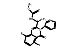 C[C@H](NC(=O)OC(C)(C)C)c1nc2c(F)ccc(F)c2c(=O)n1-c1cccnc1